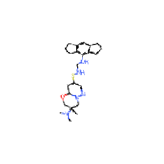 CN(C)C1(C)COC2CC(SNCNc3c4c(cc5c3CCC5)CCC4)C=NN2C1